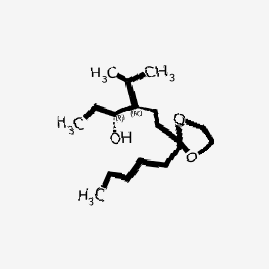 CCCCCC1(CC[C@H](C(C)C)[C@H](O)CC)OCCO1